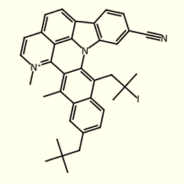 Cc1c2cc(CC(C)(C)C)ccc2c(CC(C)(C)I)c2c1c1c3c(ccc4c5ccc(C#N)cc5n2c43)cc[n+]1C